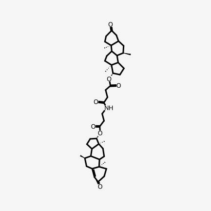 C[C@@H]1CC2CC(=O)CC[C@]2(C)C2CC[C@@]3(C)C(CC[C@@H]3OC(=O)CCC(=O)NCCC(=O)O[C@H]3CCC4C5C(CC[C@@]43C)[C@@]3(C)CCC(=O)C=C3C[C@H]5C)C21